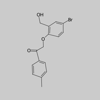 Cc1ccc(C(=O)COc2ccc(Br)cc2CO)cc1